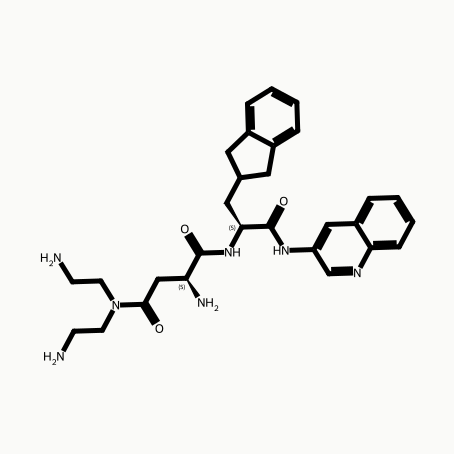 NCCN(CCN)C(=O)C[C@H](N)C(=O)N[C@@H](CC1Cc2ccccc2C1)C(=O)Nc1cnc2ccccc2c1